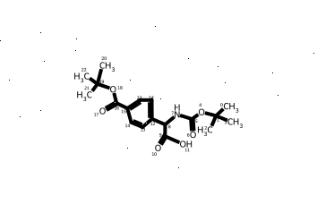 CC(C)(C)OC(=O)NC(C(=O)O)c1ccc(C(=O)OC(C)(C)C)cc1